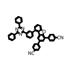 N#Cc1ccc(-c2cc(-c3ccc(C#N)cc3)c3oc4cccc(-c5cccc(-c6nc(-c7ccccc7)nc(-c7ccccc7)n6)c5)c4c3c2)cc1